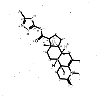 CC1=C2N(C)C(=O)CC[C@]2(C)[C@@H]2CC[C@]3(C)C(C(=O)Nc4nnc(C)s4)CC[C@H]3[C@@H]2C1